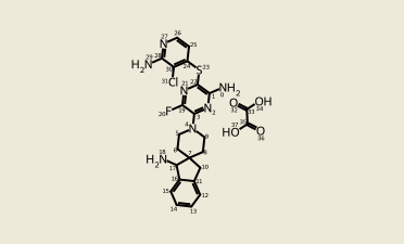 Nc1nc(N2CCC3(CC2)Cc2ccccc2C3N)c(F)nc1Sc1ccnc(N)c1Cl.O=C(O)C(=O)O